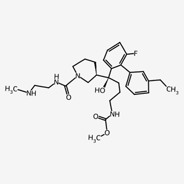 CCc1cccc(-c2c(F)cccc2[C@](O)(CCCNC(=O)OC)[C@@H]2CCCN(C(=O)NCCNC)C2)c1